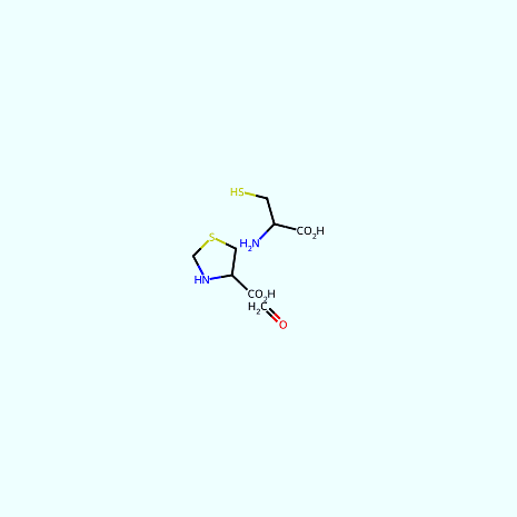 C=O.NC(CS)C(=O)O.O=C(O)C1CSCN1